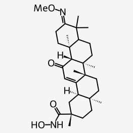 CON=C1CC[C@@]2(C)C(CC[C@]3(C)[C@@H]2C(=O)C=C2[C@@H]4C[C@@](C)(C(=O)NO)CC[C@]4(C)CC[C@]23C)C1(C)C